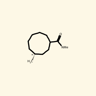 CNC(=O)C1CCCCC[C@@H](C)CC1